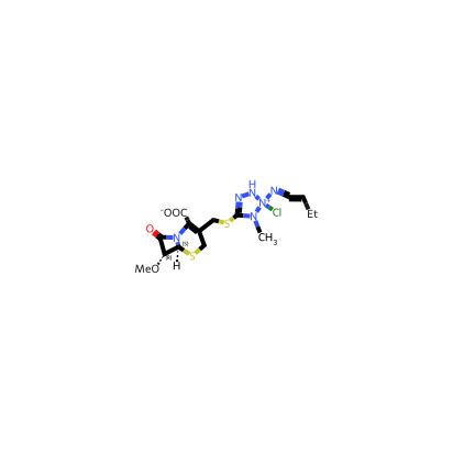 CCC=C=N[N+]1(Cl)NN=C(SCC2=C(C(=O)[O-])N3C(=O)[C@@H](OC)[C@@H]3SC2)N1C